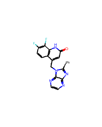 CC(C)c1nc2nccnc2n1Cc1cc(=O)[nH]c2c(F)c(F)ccc12